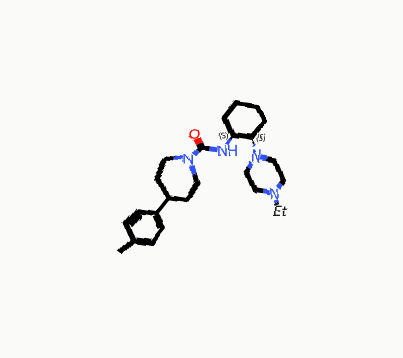 CCN1CCN([C@H]2CCCC[C@@H]2NC(=O)N2CCC(c3ccc(C)cc3)CC2)CC1